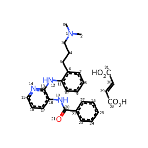 CN(C)CCCc1ccccc1Nc1ncccc1NC(=O)c1ccccc1.O=C(O)C=CC(=O)O